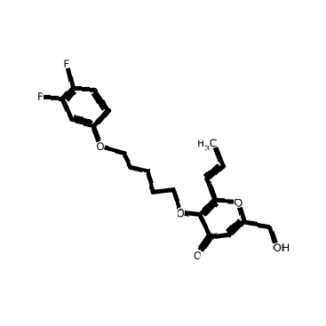 CC=Cc1oc(CO)cc(=O)c1OCCCCCOc1ccc(F)c(F)c1